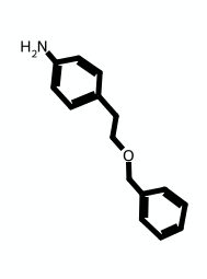 Nc1ccc(CCOCc2ccccc2)cc1